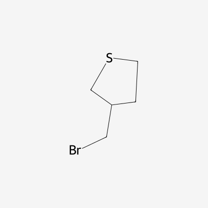 BrCC1CCSC1